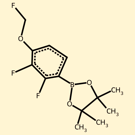 CC1(C)OB(c2ccc(OCF)c(F)c2F)OC1(C)C